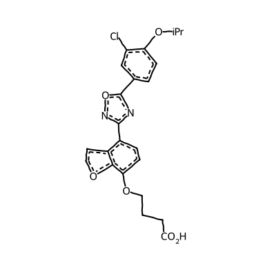 CC(C)Oc1ccc(-c2nc(-c3ccc(OCCCC(=O)O)c4occc34)no2)cc1Cl